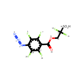 [N-]=[N+]=Nc1c(F)c(F)c(C(=O)OCC(F)(F)S(=O)(=O)O)c(F)c1F